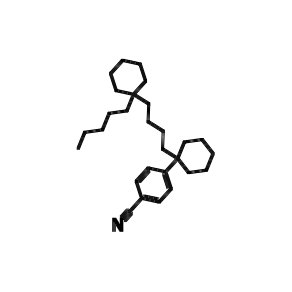 CCCCCC1(CCCCC2(c3ccc(C#N)cc3)CCCCC2)CCCCC1